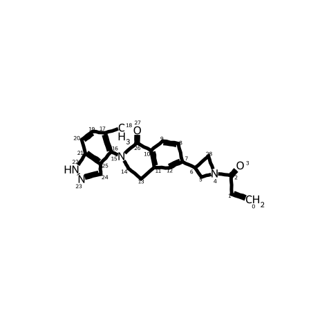 C=CC(=O)N1CC(c2ccc3c(c2)CCN(c2c(C)ccc4[nH]ncc24)C3=O)C1